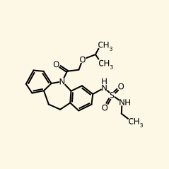 CCNS(=O)(=O)Nc1ccc2c(c1)N(C(=O)COC(C)C)c1ccccc1CC2